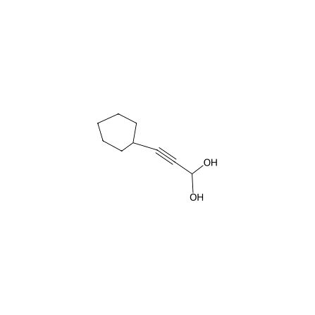 OC(O)C#CC1CCCCC1